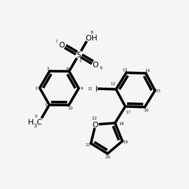 Cc1ccc(S(=O)(=O)O)cc1.Ic1ccccc1-c1ccco1